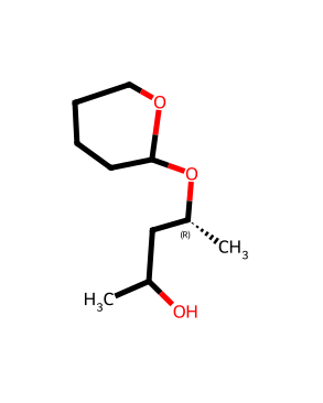 CC(O)C[C@@H](C)OC1CCCCO1